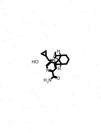 CO[C@]1(c2ccnc(C(N)=O)c2)[C@@H]2CCC[C@H]1CN(CC1CC1)C2.Cl